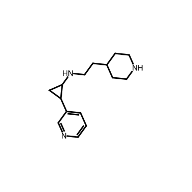 c1cncc(C2CC2NCCC2CCNCC2)c1